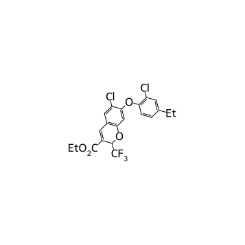 CCOC(=O)C1=Cc2cc(Cl)c(Oc3ccc(CC)cc3Cl)cc2OC1C(F)(F)F